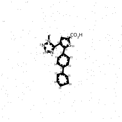 Cn1nnnc1-c1cc(C(=O)O)sc1-c1ccc(-c2ccccc2)cc1